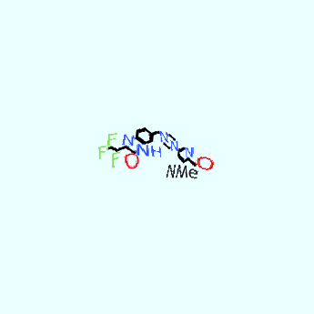 CNC(=O)c1ccc(N2CCN(Cc3ccc4nc(C(F)C(F)F)c(=O)[nH]c4c3)CC2)cn1